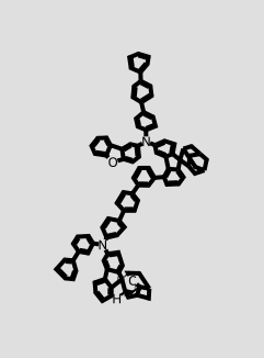 c1ccc(-c2ccc(-c3ccc(N(c4ccc5c(c4)-c4c(-c6cccc(-c7ccc(-c8ccc(N(c9cccc(-c%10ccccc%10)c9)c9ccc%10c(c9)-c9ccccc9[C@@]%109C%10CC%11CC%12C[C@H]9C[C@@]%11%12C%10)cc8)cc7)c6)cccc4C54C5CC6CC(C5)CC4C6)c4ccc5oc6ccccc6c5c4)cc3)cc2)cc1